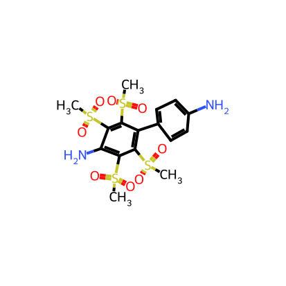 CS(=O)(=O)c1c(N)c(S(C)(=O)=O)c(S(C)(=O)=O)c(-c2ccc(N)cc2)c1S(C)(=O)=O